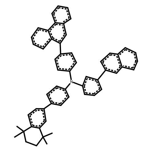 CC1(C)CCC(C)(C)c2cc(-c3ccc(N(c4ccc(-c5cc6ccccc6c6ccccc56)cc4)c4cccc(-c5ccc6ccccc6c5)c4)cc3)ccc21